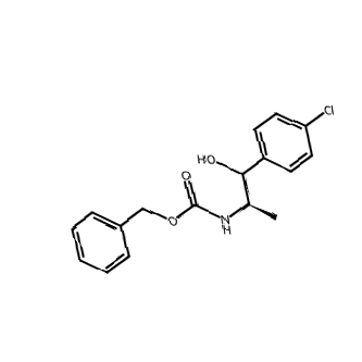 C[C@@H](NC(=O)OCc1ccccc1)C(O)c1ccc(Cl)cc1